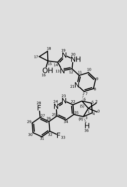 CC1(C)[C@H]2CC[C@]1(c1cccc(-c3nc(C4(O)CC4)n[nH]3)n1)c1nnc(-c3c(F)cccc3F)cc12